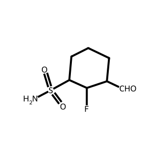 NS(=O)(=O)C1CCCC(C=O)C1F